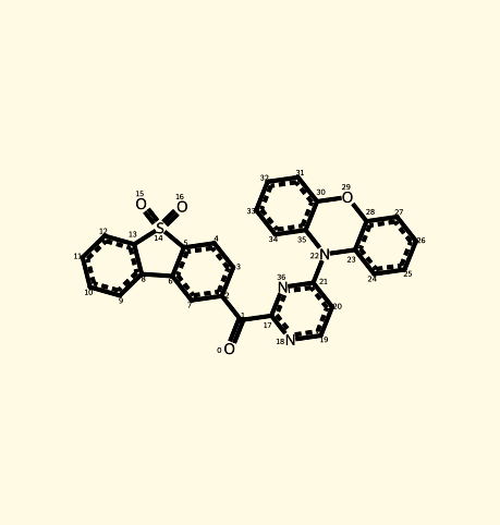 O=C(c1ccc2c(c1)-c1ccccc1S2(=O)=O)c1nccc(N2c3ccccc3Oc3ccccc32)n1